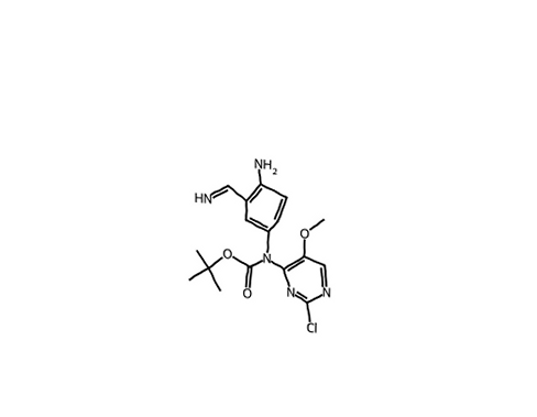 COc1cnc(Cl)nc1N(C(=O)OC(C)(C)C)c1ccc(N)c(C=N)c1